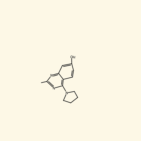 Cc1nc(N2CCCC2)c2ccc(O)cc2n1